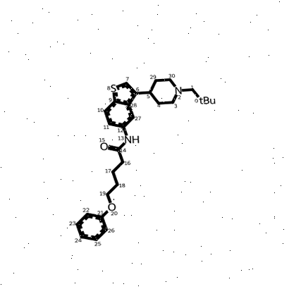 CC(C)(C)CN1CCC(c2csc3ccc(NC(=O)CCCCOc4ccccc4)cc23)CC1